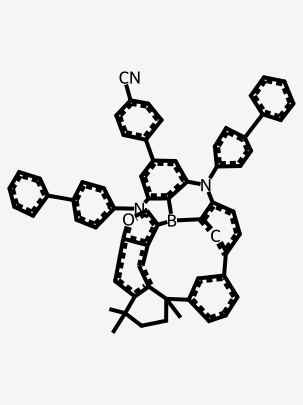 CC1(C)CCC2(C)c3cccc(c3)-c3ccc4c(c3)B3c5c(cc(-c6ccc(C#N)cc6)cc5N(c5ccc(-c6ccccc6)cc5)c5oc6cc1c2cc6c53)N4c1ccc(-c2ccccc2)cc1